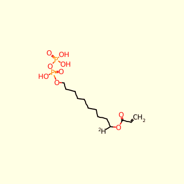 [2H]C(CCCCCCCCCOP(=O)(O)OP(=O)(O)O)OC(=O)C=C